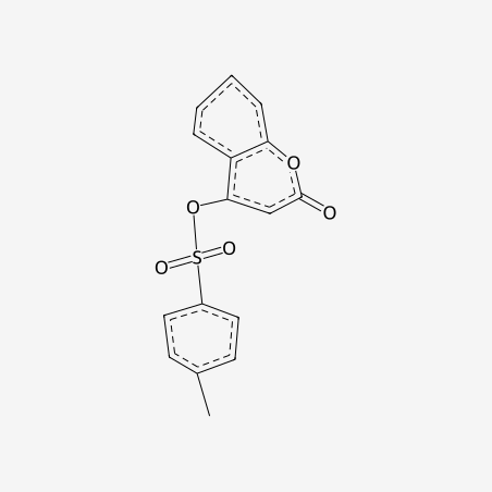 Cc1ccc(S(=O)(=O)Oc2cc(=O)oc3ccccc23)cc1